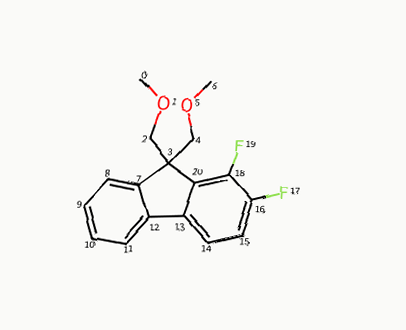 COCC1(COC)c2ccccc2-c2ccc(F)c(F)c21